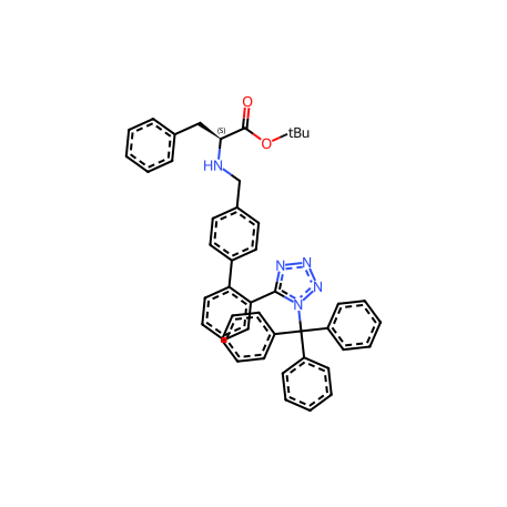 CC(C)(C)OC(=O)[C@H](Cc1ccccc1)NCc1ccc(-c2ccccc2-c2nnnn2C(c2ccccc2)(c2ccccc2)c2ccccc2)cc1